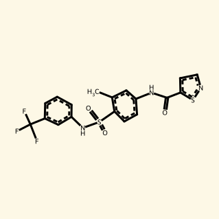 Cc1cc(NC(=O)c2ccns2)ccc1S(=O)(=O)Nc1cccc(C(F)(F)F)c1